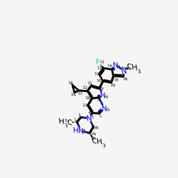 C[C@@H]1CN(c2cnc3nc(-c4cc(F)c5nn(C)cc5c4)cc(C4CC4)c3c2)C[C@@H](C)N1